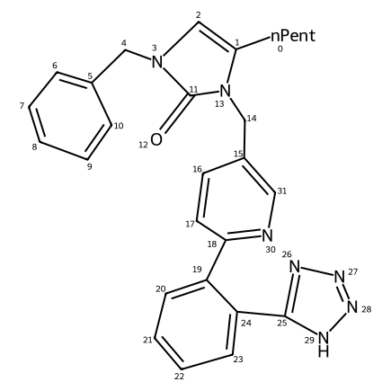 CCCCCc1cn(Cc2ccccc2)c(=O)n1Cc1ccc(-c2ccccc2-c2nnn[nH]2)nc1